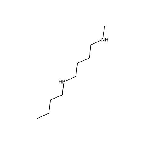 CCCCBCCCCNC